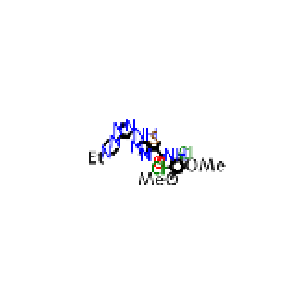 CCN1CCN(c2cc(Nc3ncnc4c(C(=O)Nc5c(Cl)c(OC)cc(OC)c5Cl)csc34)ncn2)CC1